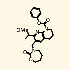 COC(C)c1nc2c(cc1CN1CCCCOC1=O)CCCN2C(=O)Oc1ccccc1